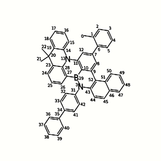 Cc1ccccc1-c1cc2c3c(c1)N1c4ccccc4C(C)(C)c4cccc(c41)B3N(c1ccc(-c3ccccc3)cc1)c1ccc3ccccc3c1-2